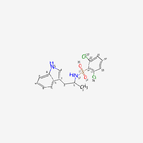 CC(Cc1c[nH]c2ccccc12)NS(=O)(=O)c1c(Cl)cccc1Cl